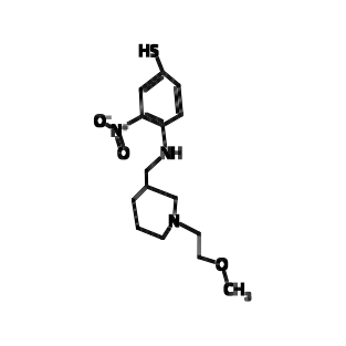 COCCN1CCCC(CNc2ccc(S)cc2[N+](=O)[O-])C1